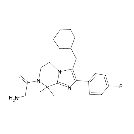 C=C(CN)N1CCn2c(nc(-c3ccc(F)cc3)c2CC2CCCCC2)C1(C)C